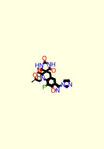 C[C@@H]1CN2c3c(cc4c(-n5ccnc5)noc4c3F)CC3(C(=O)NC(=O)NC3=O)[C@H]2[C@H](C)O1